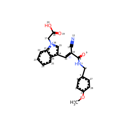 COc1ccc(CNC(=O)/C(C#N)=C/c2cn(CC(=O)O)c3ccccc23)cc1